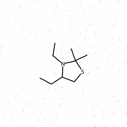 CCC1CSC(C)(C)N1CC